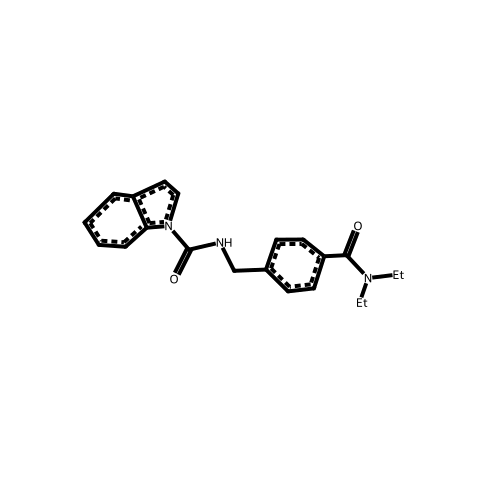 CCN(CC)C(=O)c1ccc(CNC(=O)n2ccc3ccccc32)cc1